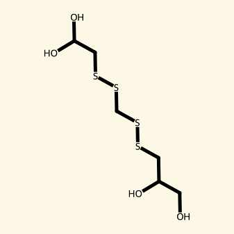 OCC(O)CSSCSSCC(O)O